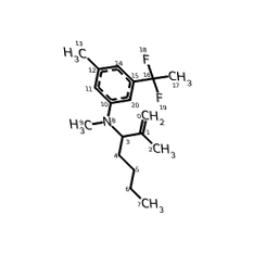 C=C(C)C(CCCC)N(C)c1cc(C)cc(C(C)(F)F)c1